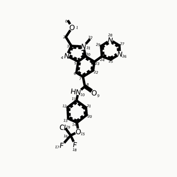 COCc1nc2cc(C(=O)Nc3ccc(OC(F)(F)Cl)cc3)cc(-c3cncnc3)c2n1C